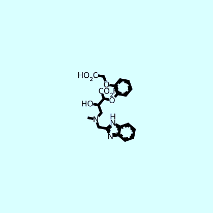 CN(Cc1nc2ccccc2[nH]1)CC(O)C(Oc1ccccc1OCC(=O)O)C(=O)O